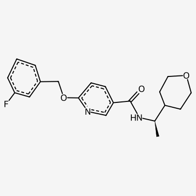 C[C@@H](NC(=O)c1ccc(OCc2cccc(F)c2)nc1)C1CCOCC1